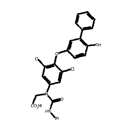 CC(C)NC(=O)N(CC(=O)O)c1cc(Cl)c(Oc2ccc(O)c(-c3ccccc3)c2)c(Cl)c1